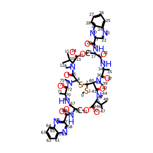 CSC1SC2C(=O)N(C)C(C(C)C)C(=O)OCC(NC(=O)c3cnc4ccccc4n3)C(=O)NC(C)C(=O)N(C)C1C(=O)N(C)C(C(C)C)C(=O)OCC(NC(=O)c1cnc3ccccc3n1)C(=O)NC(C)C(=O)N2C